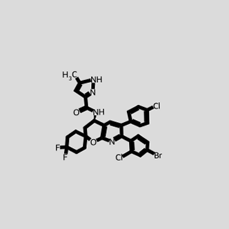 Cc1cc(C(=O)N[C@@H]2CC3(CCC(F)(F)CC3)Oc3nc(-c4ccc(Br)cc4Cl)c(-c4ccc(Cl)cc4)cc32)n[nH]1